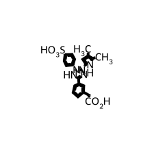 Cc1cc(N2N=C(c3cccc(CC(=O)O)c3)NN2c2ccc(S(=O)(=O)O)cc2)[nH]c1C